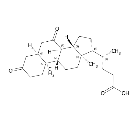 C[C@H](CCC(=O)O)[C@H]1CC[C@H]2[C@@H]3C(=O)C[C@@H]4CC(=O)CC[C@]4(C)[C@H]3CC[C@]12C